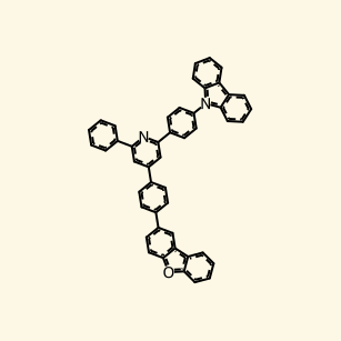 c1ccc(-c2cc(-c3ccc(-c4ccc5oc6ccccc6c5c4)cc3)cc(-c3ccc(-n4c5ccccc5c5ccccc54)cc3)n2)cc1